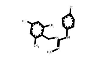 CCc1ccc(N/C(=N/C)NCc2c(C)cc(C)cc2C)cc1